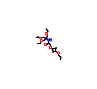 CCCOC1CC(OCC(=O)NC(COCC)(COCC)COCC)C1